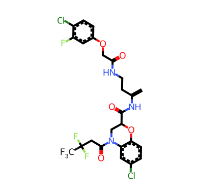 C=C(CCNC(=O)COc1ccc(Cl)c(F)c1)NC(=O)C1CN(C(=O)CC(F)(F)C(F)(F)F)c2cc(Cl)ccc2O1